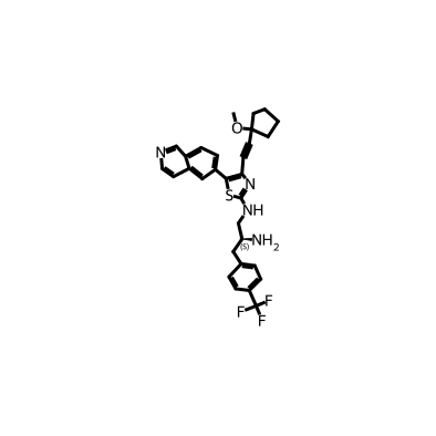 COC1(C#Cc2nc(NC[C@@H](N)Cc3ccc(C(F)(F)F)cc3)sc2-c2ccc3cnccc3c2)CCCC1